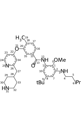 COc1c(NCCC(C)C)cc(C(C)(C)C)cc1NC(=O)c1ccc(C)c(Oc2ccnc(CC3CCNCC3)c2)c1